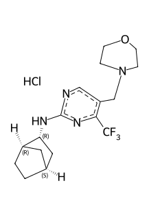 Cl.FC(F)(F)c1nc(N[C@@H]2C[C@H]3CC[C@@H]2C3)ncc1CN1CCOCC1